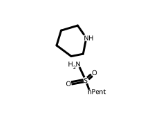 C1CCNCC1.CCCCCS(N)(=O)=O